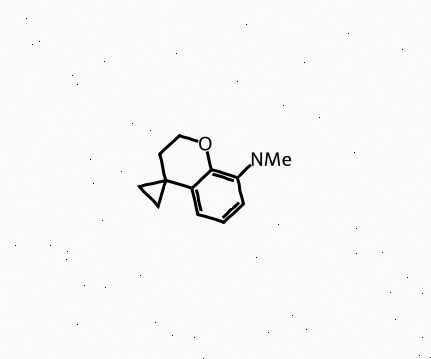 CNc1cccc2c1OCCC21CC1